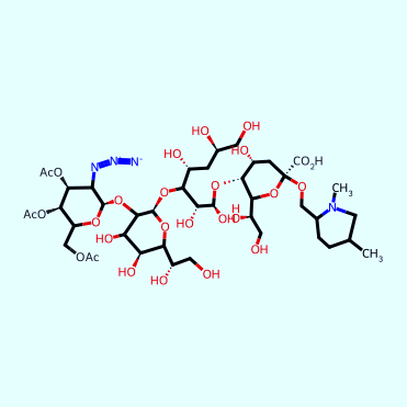 CC(=O)OCC1O[C@H](OC2C(O)[C@H](O)C([C@@H](O)CO)O[C@@H]2OC([C@H](O)C[C@@H](O)CO)[C@@H](O)[C@H](O)O[C@H]2C([C@H](O)CO)O[C@@](OCC3CCC(C)CN3C)(C(=O)O)C[C@H]2O)C(N=[N+]=[N-])[C@H](OC(C)=O)[C@@H]1OC(C)=O